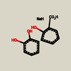 O=C(O)c1ccccc1O.Oc1ccccc1O.[NaH]